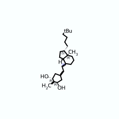 C=C1[C@H](O)CC(=C/C=C2\CCC[C@]3(C)[C@@H](CCCCC(C)(C)C)CC[C@@H]23)C[C@H]1O